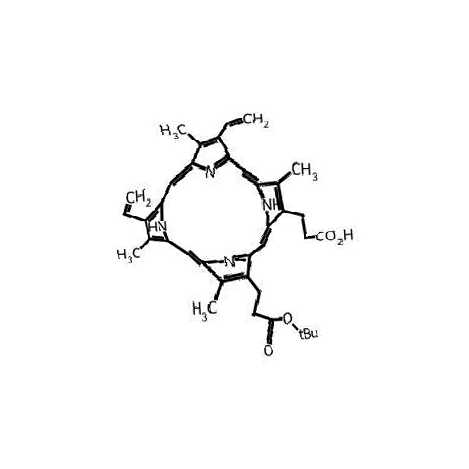 C=CC1=C(C)c2cc3[nH]c(cc4nc(cc5[nH]c(cc1n2)c(C)c5CCC(=O)O)C(CCC(=O)OC(C)(C)C)=C4C)c(C)c3C=C